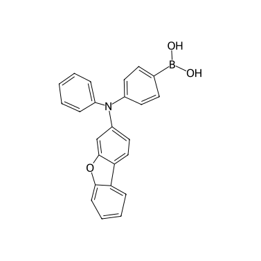 OB(O)c1ccc(N(c2ccccc2)c2ccc3c(c2)oc2ccccc23)cc1